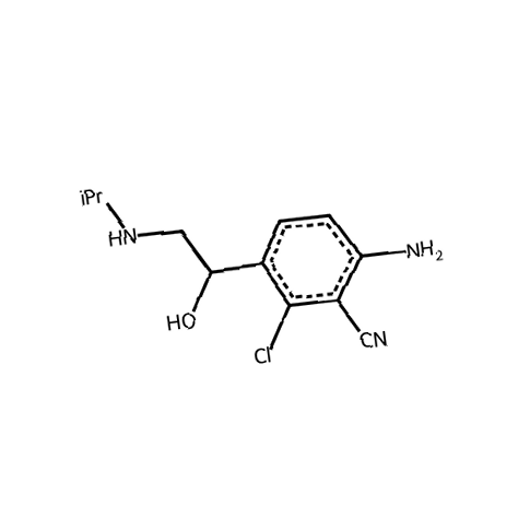 CC(C)NCC(O)c1ccc(N)c(C#N)c1Cl